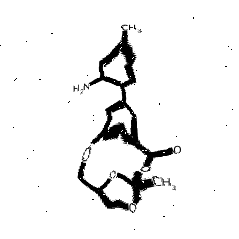 Cc1ccc(-c2cc3cc(c2)C(=O)OC2(C)OCC(CO3)O2)c(N)c1